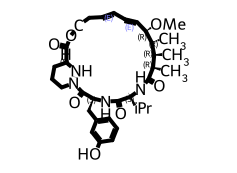 CO[C@H]1/C=C/C=C/CCOC(=O)[C@@H]2CCCN(N2)C(=O)[C@H](Cc2cccc(O)c2)NC(=O)[C@H](C(C)C)NC(=O)[C@H](C)[C@H](C)[C@H]1C